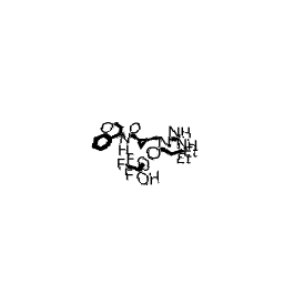 CCC1(CC)CC(=O)N(CC2CC2C(=O)N[C@H]2CCOc3ccccc32)C(=N)N1.O=C(O)C(F)(F)F